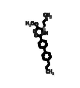 CCCc1ccc(-c2ccc(C(=O)N[C@@H](CCSC)C(=O)OC)cc2)cc1